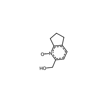 [O-][n+]1c(CO)ccc2c1CCC2